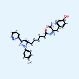 CC(C)c1ccc(-n2nc(-c3ccccn3)cc2CCCCCC(=O)NC(Cc2ccc(O)cc2)C(N)=O)cc1